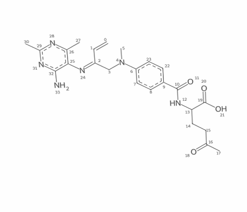 C=C/C(CN(C)c1ccc(C(=O)NC(CCC(C)=O)C(=O)O)cc1)=N\c1c(C)nc(C)nc1N